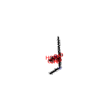 CCCCCCCCCC=CCCCCC(=O)OC[C@H](COP(=O)(O)OC[C@@H](O)[C@H](O)CO)OC(=O)CCCC/C=C\CCCCCCCCC